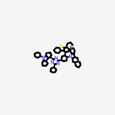 c1ccc(-c2nc(-c3ccc(-n4c5ccccc5c5cc6ccccc6cc54)c(-c4cc5ccccc5c5sc6ccccc6c45)c3)nc(-c3cccc4c3c3ccccc3n4-c3ccccc3)n2)cc1